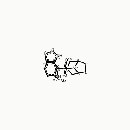 COc1ccccc1S(=O)(=O)N1C2CCC1CN(C(O)c1cnn[nH]1)C2